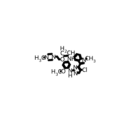 C=CC(=C)Nc1cc(Nc2ncc(Cl)c(-c3cn(C)c4ccccc34)n2)c(OC)cc1OCCN1CCN(C)CC1